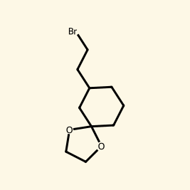 BrCCC1CCCC2(C1)OCCO2